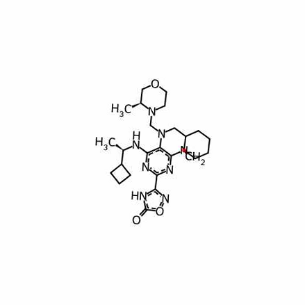 C=Nc1nc(-c2noc(=O)[nH]2)nc(N[C@H](C)C2CCC2)c1N(CC1CCCCC1)CN1CCOC[C@@H]1C